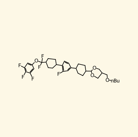 CCCCOCC1COC(C2CCC(c3ccc(C4CCC(C(F)(F)Oc5cc(F)c(F)c(F)c5)CC4)c(F)c3)CC2)OC1